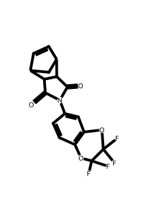 O=C1C2C3C=CC(C3)C2C(=O)N1c1ccc2c(c1)OC(F)(F)C(F)(F)O2